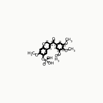 COc1cc2c(cc1OP(=O)(O)O)C=C(C(=O)c1cc(OC)c(OC)c(OC)c1)CO2